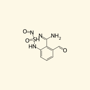 NC1=N[SH](=O)(N=O)Nc2cccc(C=O)c21